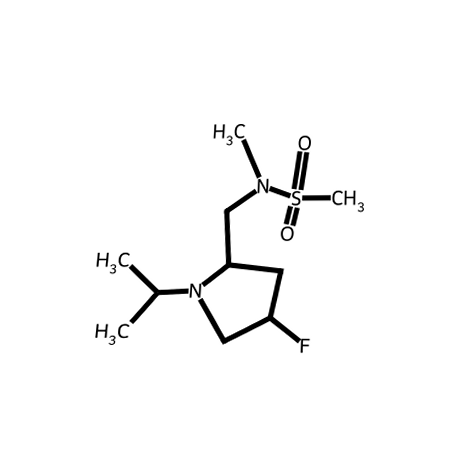 CC(C)N1CC(F)CC1CN(C)S(C)(=O)=O